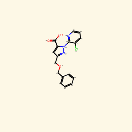 O=C(O)c1cc(COCc2ccccc2)nn1-c1ncccc1Cl